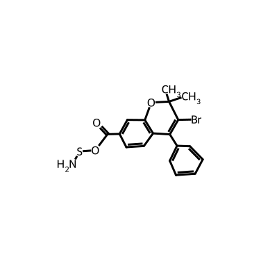 CC1(C)Oc2cc(C(=O)OSN)ccc2C(c2ccccc2)=C1Br